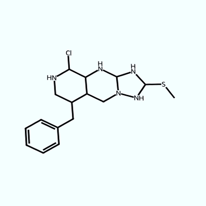 CSC1NC2NC3C(Cl)NCC(Cc4ccccc4)C3CN2N1